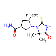 CCCCCCCC1CC(C(N)=O)CN1N1C(=S)NC(=O)C1(C)C